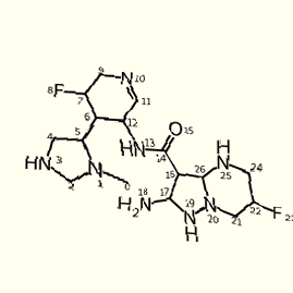 CN1CNCC1C1C(F)CN=CC1NC(=O)C1C(N)NN2CC(F)CNC12